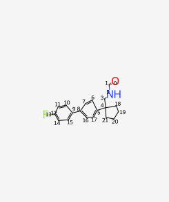 O=CNCC1(c2ccc(-c3ccc(F)cc3)cc2)CCCC1